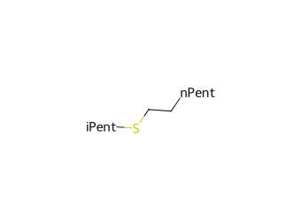 CCCCCCCSC(C)CCC